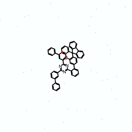 c1ccc(-c2cccc(-c3nc(-c4cccc(-c5ccccc5)c4)nc(-c4ccccc4-c4ccc5c(c4)Oc4ccccc4C54c5ccccc5-c5ccccc54)n3)c2)cc1